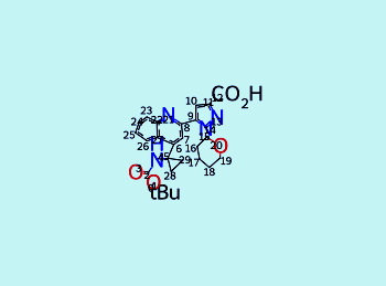 CC(C)(C)OC(=O)NC1(c2cc(-c3cc(C(=O)O)nn3C3CCCCO3)nc3ccccc23)CC1